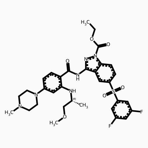 CCOC(=O)n1nc(NC(=O)c2ccc(N3CCN(C)CC3)cc2N[C@H](C)COC)c2cc(S(=O)(=O)c3cc(F)cc(F)c3)ccc21